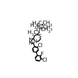 CC1(CO[Si](C)(C)C(C)(C)C)Cc2nnc(-c3ccc(-c4cccc(Cl)c4F)cc3Cl)n2CCS1